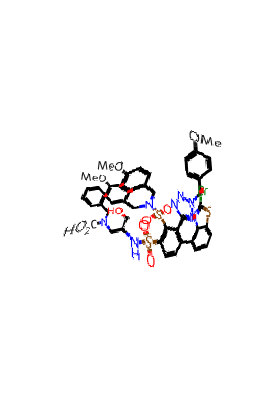 COc1ccc(CN(Cc2ccc(OC)cc2)S(=O)(=O)c2c(S(=O)(=O)N[C@H](CO)CN(Cc3ccccc3)C(=O)O)ccc(-c3cccc4sc(Br)nc34)c2-c2nnn(Cc3ccc(OC)cc3)n2)cc1